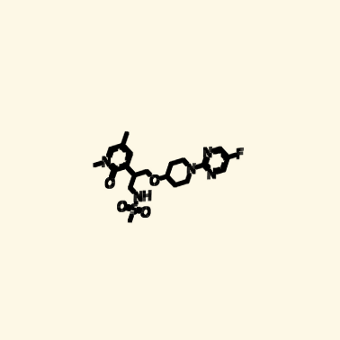 Cc1cc(C(CNS(C)(=O)=O)COC2CCN(c3ncc(F)cn3)CC2)c(=O)n(C)c1